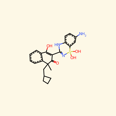 CC1(CC2CCC2)C(=O)C(C2=NS(O)(O)c3cc(N)ccc3N2)=C(O)c2ccccc21